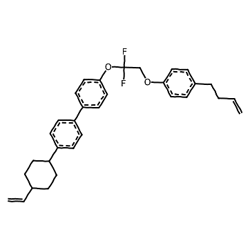 C=CCCc1ccc(OCC(F)(F)Oc2ccc(-c3ccc(C4CCC(C=C)CC4)cc3)cc2)cc1